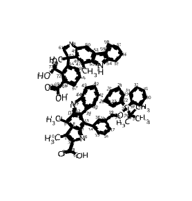 CC1=C(C(=O)O)N=c2c1c(C)c1c(c2-c2cccc(CO[Si](c3ccccc3)(c3ccccc3)C(C)(C)C)c2)-c2ccccc2N=1.Cc1c2c(cc3c1[nH]c1ccccc13)N=CC2(C)c1cccc(C(=O)O)c1C(=O)O